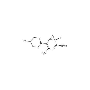 CNC1=CC(C)=C(N2CCN(C(C)C)CC2)C2C[C@H]12